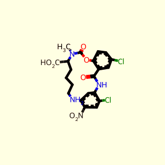 CN(C(=O)Oc1ccc(Cl)cc1C(=O)Nc1ccc([N+](=O)[O-])cc1Cl)C(CCCCN)C(=O)O